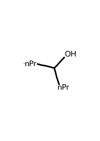 CC[CH]C(O)CCC